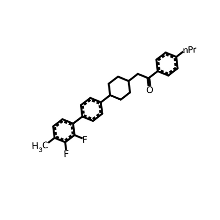 CCCc1ccc(C(=O)CC2CCC(c3ccc(-c4ccc(C)c(F)c4F)cc3)CC2)cc1